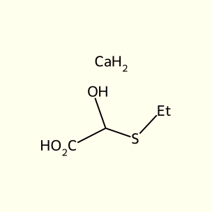 CCSC(O)C(=O)O.[CaH2]